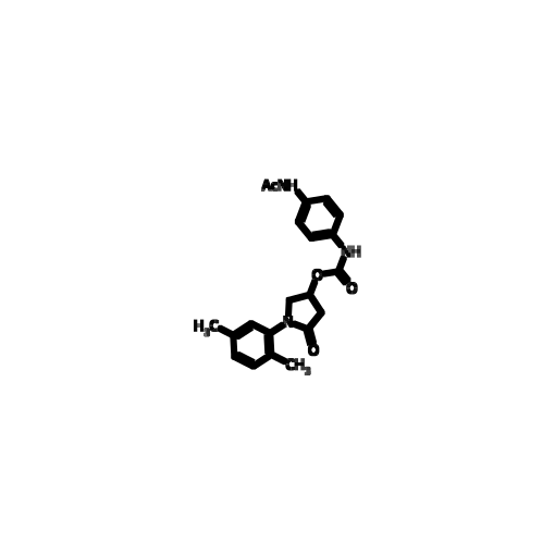 CC(=O)Nc1ccc(NC(=O)OC2CC(=O)N(c3cc(C)ccc3C)C2)cc1